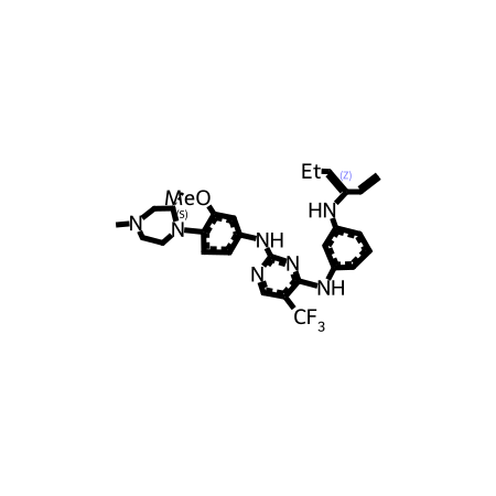 C=C/C(=C/CC)Nc1cccc(Nc2nc(Nc3ccc(N4CCN(C)C[C@@H]4C)c(OC)c3)ncc2C(F)(F)F)c1